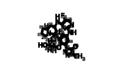 [2H]C([2H])(O)C([2H])([2H])Oc1cc(F)c(Nc2ncc(F)c(N[C@@H]3C[C@@H]4CCCN4C(C)(C)C3)n2)cc1-n1nnn(C)c1=O